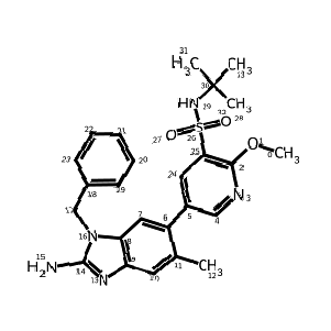 COc1ncc(-c2cc3c(cc2C)nc(N)n3Cc2ccccc2)cc1S(=O)(=O)NC(C)(C)C